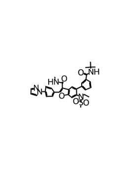 CCN(c1cc2oc(-c3ccc(-n4cccn4)cc3)c(C(=O)NC)c2cc1-c1cccc(C(=O)NC(C)(C)C)c1)S(C)(=O)=O